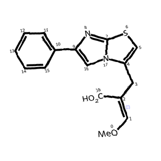 CO/C=C(/Cc1csc2nc(-c3ccccc3)cn12)C(=O)O